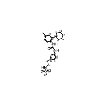 Cc1ccc(NC(=O)Nc2ncc(CCNS(C)(=O)=O)s2)c(N2CCCCC2)c1